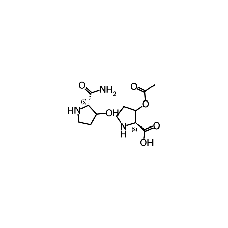 CC(=O)OC1CCN[C@@H]1C(=O)O.NC(=O)[C@H]1NCCC1O